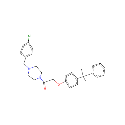 CC(C)(c1ccccc1)c1ccc(OCC(=O)N2CCN(Cc3ccc(Cl)cc3)CC2)cc1